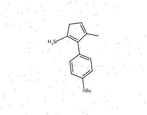 CCCCc1ccc(C2=C([SiH3])CC=C2C)cc1